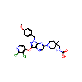 COc1ccc(Cn2nc(Oc3ccnc(Cl)c3Cl)c3ncc(N4CCC(C)(CNC(=O)O)CC4)nc32)cc1